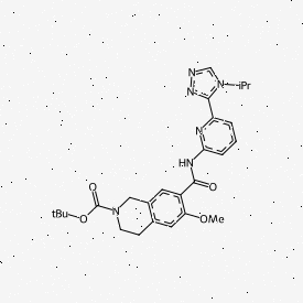 COc1cc2c(cc1C(=O)Nc1cccc(-c3nncn3C(C)C)n1)CN(C(=O)OC(C)(C)C)CC2